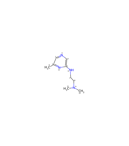 Cc1cncc(NCCN(C)C)n1